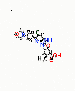 Cc1ccc(Oc2nc3nc(-c4ccc(N5CCOCC5)cc4)c(Cl)cc3[nH]2)cc1C(=O)O